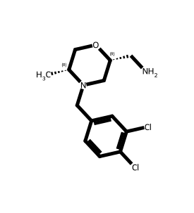 C[C@@H]1CO[C@H](CN)CN1Cc1ccc(Cl)c(Cl)c1